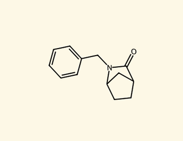 O=C1C2CCC(C2)N1Cc1ccccc1